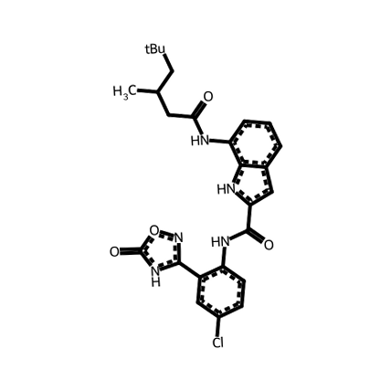 CC(CC(=O)Nc1cccc2cc(C(=O)Nc3ccc(Cl)cc3-c3noc(=O)[nH]3)[nH]c12)CC(C)(C)C